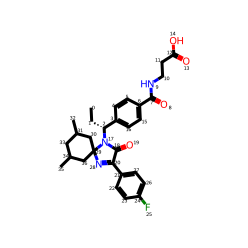 CC[C@H](c1ccc(C(=O)NCCC(=O)O)cc1)N1C(=O)C(c2ccc(F)cc2)=NC12CC(C)CC(C)C2